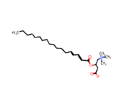 CCCCCCCCCCCCCC=CC=CC(=O)OC(CC(=O)[O-])C[N+](C)(C)C